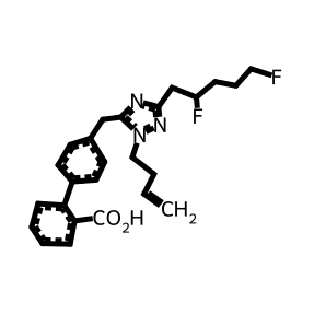 C=CCCn1nc(CC(F)CCCF)nc1Cc1ccc(-c2ccccc2C(=O)O)cc1